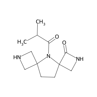 CC(C)C(=O)N1C2(CCC13CNC3=O)CNC2